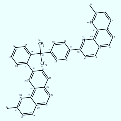 Cc1ccc2ccc3ccc(-c4ccc(C(c5ccccc5-c5ccc6ccc7ccc(C)nc7c6n5)(C(F)(F)F)C(F)(F)F)cc4)nc3c2n1